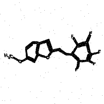 COc1ccc2cc(CCc3c(F)c(F)c(F)c(F)c3F)oc2c1